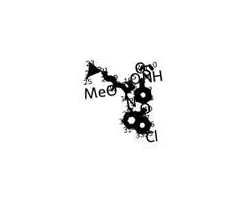 C#S(=O)NC(=O)c1ccc2c(c1)N(C[C@@H]1CC[C@H]1[C@H](/C=C/C[C@H]1C[C@@H]1C)OC)C[C@@]1(CCCc3cc(Cl)ccc31)CO2